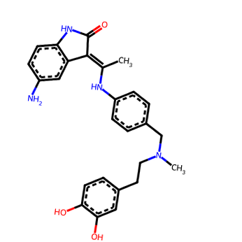 CC(Nc1ccc(CN(C)CCc2ccc(O)c(O)c2)cc1)=C1C(=O)Nc2ccc(N)cc21